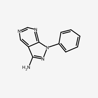 Nc1nn(-c2ccccc2)c2ncncc12